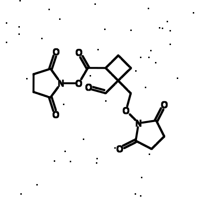 O=CC1(CON2C(=O)CCC2=O)CCC1C(=O)ON1C(=O)CCC1=O